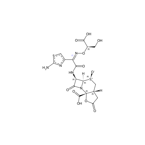 Nc1nc(/C(=N/O[C@H](CO)C(=O)O)C(=O)N[C@@H]2C(=O)N3[C@@H]2[S@@+]([O-])C[C@@H]2CC(=O)O[C@@]23C(=O)O)cs1